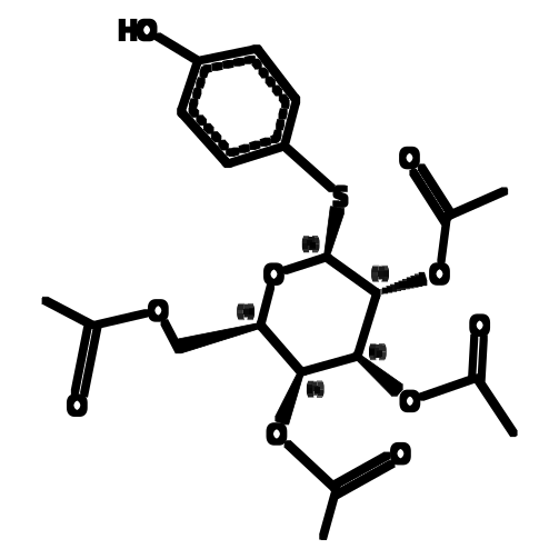 CC(=O)OC[C@H]1O[C@@H](Sc2ccc(O)cc2)[C@H](OC(C)=O)[C@@H](OC(C)=O)[C@H]1OC(C)=O